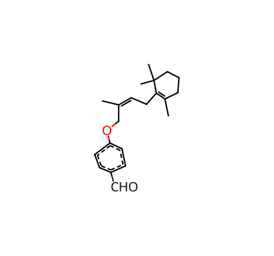 CC(=CCC1=C(C)CCCC1(C)C)COc1ccc(C=O)cc1